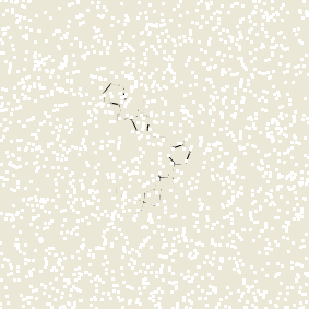 CCC1(CC)CCN(C(=O)Nc2ccc(C)c(CCc3cc(Nc4cnccn4)[nH]n3)c2)C1